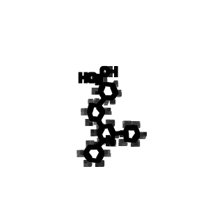 OB(O)c1cccc(-c2cccc(-c3cc(-c4ccccc4)nc(-c4ccccc4)c3)c2)c1